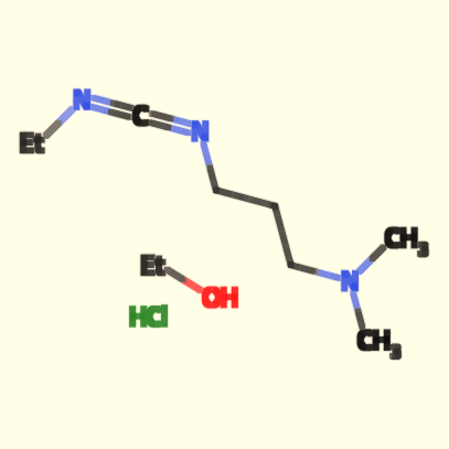 CCN=C=NCCCN(C)C.CCO.Cl